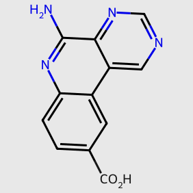 Nc1nc2ccc(C(=O)O)cc2c2cncnc12